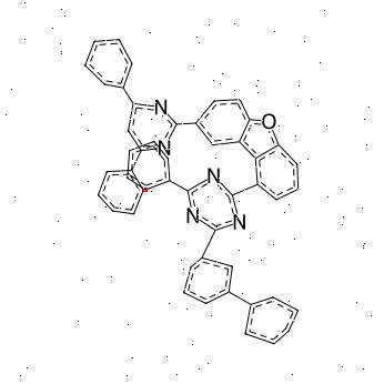 c1ccc(-c2cccc(-c3nc(-c4ccccc4)nc(-c4cccc5oc6ccc(-c7nc(-c8ccccc8)cc(-c8ccccc8)n7)cc6c45)n3)c2)cc1